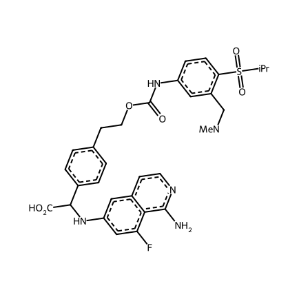 CNCc1cc(NC(=O)OCCc2ccc(C(Nc3cc(F)c4c(N)nccc4c3)C(=O)O)cc2)ccc1S(=O)(=O)C(C)C